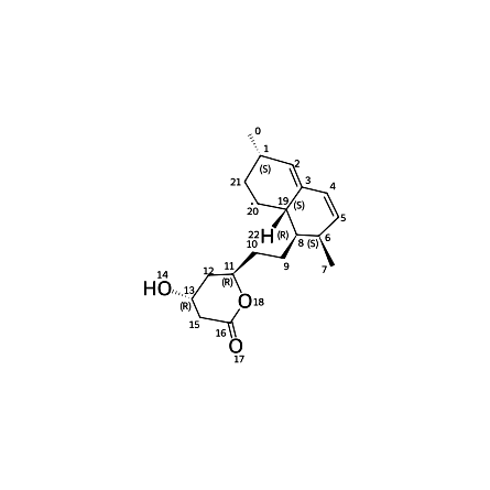 C[C@@H]1C=C2C=C[C@@H](C)[C@@H](CC[C@@H]3C[C@@H](O)CC(=O)O3)[C@@H]2[CH]C1